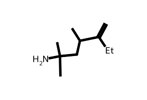 C=C(CC)C(C)CC(C)(C)N